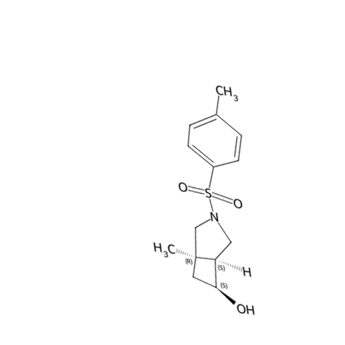 Cc1ccc(S(=O)(=O)N2C[C@H]3[C@@H](O)C[C@@]3(C)C2)cc1